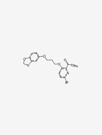 COC(=O)c1nc(Br)ccc1OCCCOc1ccc2c(c1)OCO2